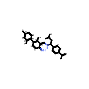 C=C(C)c1ccc(C(CC(C)C)N/C=C2\C(=N)C=CC(c3ccc(C)cc3C)=C2C)cc1